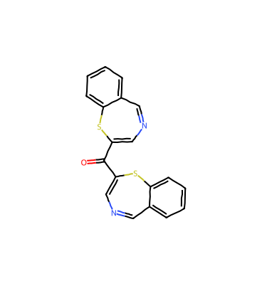 O=C(C1=CN=Cc2ccccc2S1)C1=CN=Cc2ccccc2S1